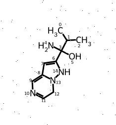 CC(C)C(N)(O)C1=CC2=CN=CCN2N1